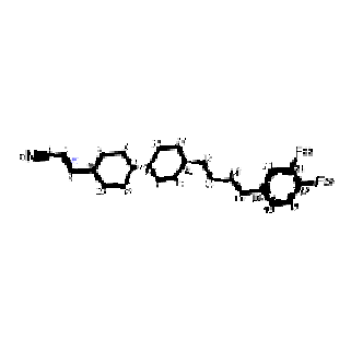 N#C/C=C/C1CCC([C@H]2CC[C@H](CCCCc3ccc(F)c(F)c3)CC2)CC1